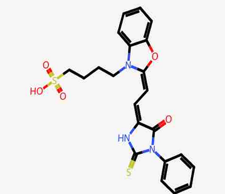 O=C1C(=CC=C2Oc3ccccc3N2CCCCS(=O)(=O)O)NC(=S)N1c1ccccc1